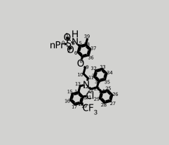 CCCS(=O)(=O)Nc1cc(OCCCN(Cc2cccc(C(F)(F)F)c2Cl)CC(c2ccccc2)c2ccccc2)ccc1C